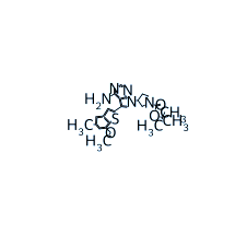 COc1cc(C)cc2cc(-c3cn(C4CCN(C(=O)OC(C)(C)C)C4)c4ncnc(N)c34)sc12